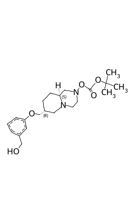 CC(C)(C)OC(=O)ON1CCN2C[C@H](COc3cccc(CO)c3)CC[C@H]2C1